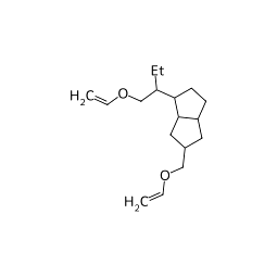 C=COCC1CC2CCC(C(CC)COC=C)C2C1